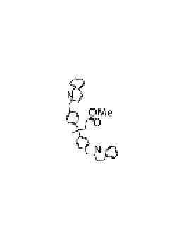 COC(=O)CCC(C)(c1ccc(Cc2ccc3ccccc3n2)cc1)c1ccc(Cc2ccc3ccccc3n2)cc1